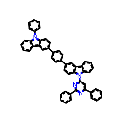 c1ccc(-c2cc(-n3c4ccccc4c4cc(-c5ccc(-c6ccc7c(c6)c6ccccc6n7-c6ccccc6)cc5)ccc43)nc(-c3ccccc3)n2)cc1